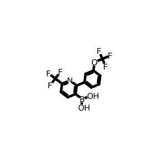 OB(O)c1ccc(C(F)(F)F)nc1-c1cccc(OC(F)(F)F)c1